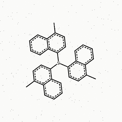 Cc1ccc([Si](c2ccc(C)c3ccccc23)c2ccc(C)c3ccccc23)c2ccccc12